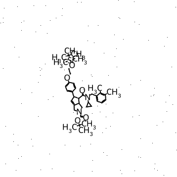 Cc1cccc(CN(C(=O)C2C3CN(C(=O)OC(C)(C)C)CC3=CC2c2ccc(OCCO[Si](C)(C)C(C)(C)C)cc2)C2CC2)c1C